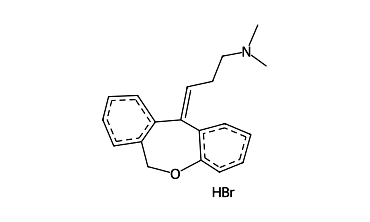 Br.CN(C)CCC=C1c2ccccc2COc2ccccc21